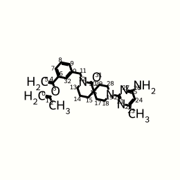 C=C(C)OC(=C)c1cccc(CN2CCCC3(CCN(c4nc(C)cc(N)n4)CC3)C2=O)c1